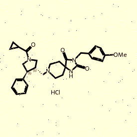 COc1ccc(CN2C(=O)NC3(CCN(C[C@H]4CN(C(=O)C5CC5)C[C@@H]4c4ccccc4)CC3)C2=O)cc1.Cl